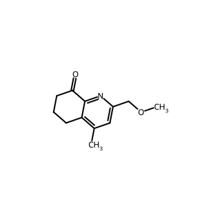 COCc1cc(C)c2c(n1)C(=O)CCC2